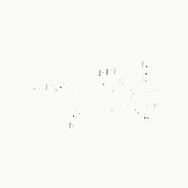 CC1CC(N=[N+]=[N-])C(O)C(OC2OC(CO)C(OC3OC(CN=[N+]=[N-])C(O)C(O)C3N=[N+]=[N-])C2O)C1OC1OC(C(C)NCc2ccccc2)CCC1N=[N+]=[N-]